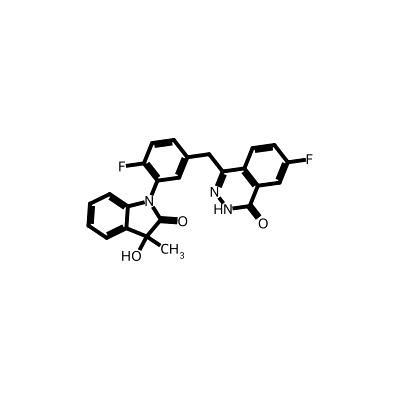 CC1(O)C(=O)N(c2cc(Cc3n[nH]c(=O)c4cc(F)ccc34)ccc2F)c2ccccc21